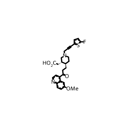 COc1ccc2nccc(C(=O)CC[C@@H]3CCN(CC#Cc4ccc(F)s4)C[C@H]3CC(=O)O)c2c1